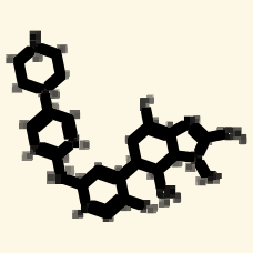 CC1=NC2=C(F)CC(C3=CC(Nc4ncc(N5CCNCC5)cn4)N=C=C3F)C(C)C2N1C(C)C